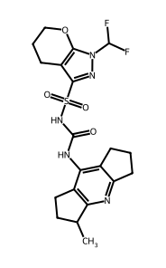 CC1CCc2c1nc1c(c2NC(=O)NS(=O)(=O)c2nn(C(F)F)c3c2CCCO3)CCC1